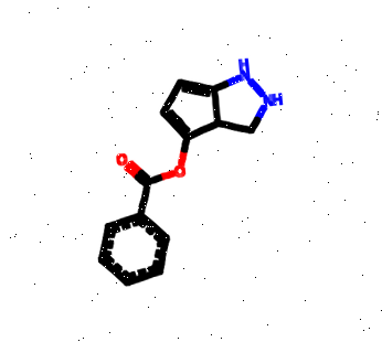 O=C(OC1=CC=C2NNCC21)c1ccccc1